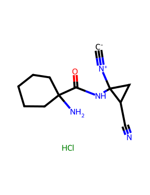 Cl.[C-]#[N+]C1(NC(=O)C2(N)CCCCC2)CC1C#N